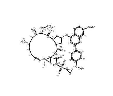 COc1ccc2c(O[C@@H]3C[C@H]4C(=O)N[C@]5(C(=O)NS(=O)(=O)C6CC6)C[C@H]5C=CCC[C@H](C)C[C@@H](C)[C@H](NC(=O)O)C(=O)N4C3)nc(-c3ccc(OC(C)C)nc3)cc2c1